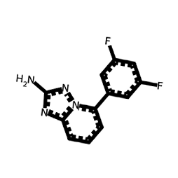 Nc1nc2cccc(-c3cc(F)cc(F)c3)n2n1